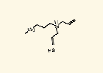 Br.C=CC[SiH](CC=C)CC[CH2][Mg][CH3]